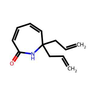 C=CCC1(CC=C)C=CC=CC(=O)N1